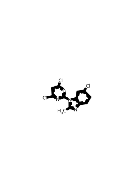 Cc1nc2ccc(Cl)cc2n1-c1nc(Cl)cc(Cl)n1